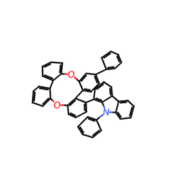 c1ccc(-c2ccc3c(c2)Oc2ccccc2-c2ccccc2Oc2cccc(-c4cccc5c6ccccc6n(-c6ccccc6)c45)c2-3)cc1